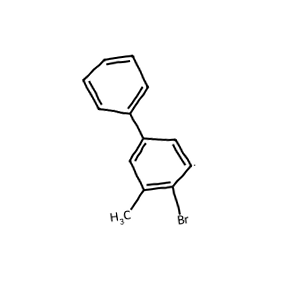 Cc1cc(-c2ccccc2)c[c]c1Br